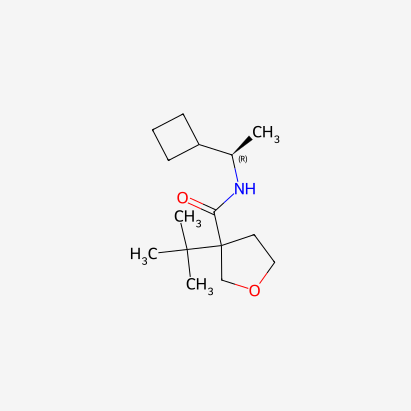 C[C@@H](NC(=O)C1(C(C)(C)C)CCOC1)C1CCC1